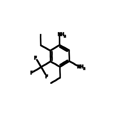 CCc1c(N)cc(N)c(CC)c1C(F)(F)F